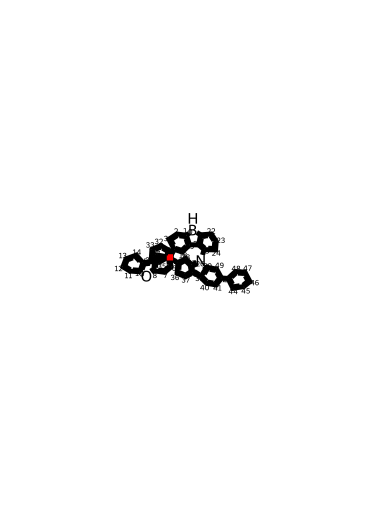 B1c2ccc(-c3ccc4oc5ccccc5c4c3)cc2-c2c1cccc2-n1c2cc(-c3ccccc3)ccc2c2ccc(-c3ccccc3)cc21